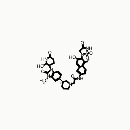 Cn1c(=O)n(C2CCC(=O)NC2O)c2ccc([C@@H]3CCCN(CC(=O)Nc4ccc5c(F)c(N6CC(=O)NS6(=O)=O)c(O)cc5c4)C3)cc21